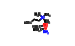 CCCCCCCCCCCC[N+](C)(C)C.CCOC(=O)O.CCOC(=O)[O-].N